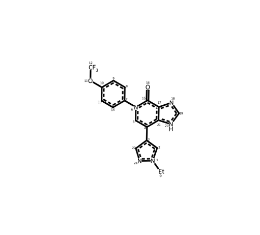 CCn1cc(-c2cn(-c3ccc(OC(F)(F)F)cc3)c(=O)c3nc[nH]c23)cn1